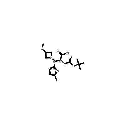 COC1CN([C@H](c2nc(Br)cs2)[C@H](NC(=O)OC(C)(C)C)C(=O)O)C1